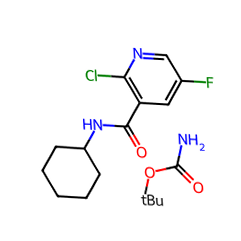 CC(C)(C)OC(N)=O.O=C(NC1CCCCC1)c1cc(F)cnc1Cl